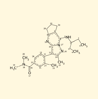 CCC(CC)Nc1c2c(nc3c(-c4ccc(C(=O)N(C)C)cc4C)c(C)nn13)CCC2